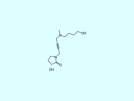 CN(CC#CCN1CC[C@@H](O)C1=O)CCCCO